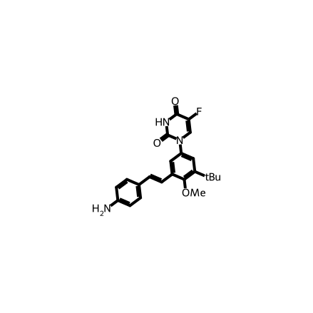 COc1c(C=Cc2ccc(N)cc2)cc(-n2cc(F)c(=O)[nH]c2=O)cc1C(C)(C)C